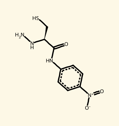 NN[C@@H](CS)C(=O)Nc1ccc([N+](=O)[O-])cc1